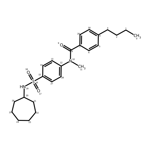 CCCCc1ccc(C(=O)N(C)c2ccc(S(=O)(=O)NC3CCCCCC3)cc2)cc1